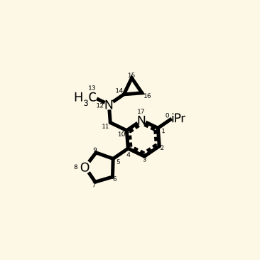 CC(C)c1ccc(C2CCOC2)c(CN(C)C2CC2)n1